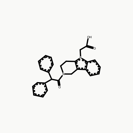 O=C(O)Cn1c2c(c3ccccc31)CN(C(=O)C(c1ccccc1)c1ccccc1)CC2